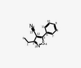 CCc1nsc(-c2ccccc2)c1C#N